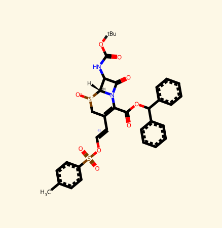 Cc1ccc(S(=O)(=O)O/C=C/C2=C(C(=O)OC(c3ccccc3)c3ccccc3)N3C(=O)C(NC(=O)OC(C)(C)C)[C@H]3[S+]([O-])C2)cc1